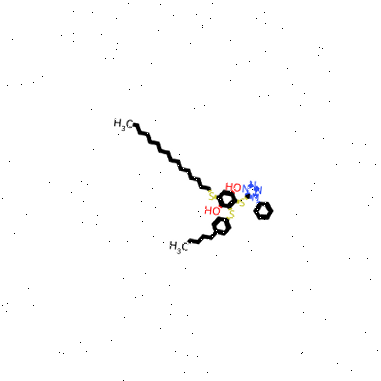 CCCCCCCCCCCCCCCCSc1cc(O)c(Sc2nnnn2-c2ccccc2)c(Sc2ccc(CCCCC)cc2)c1O